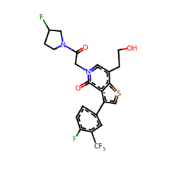 O=C(Cn1cc(CCO)c2scc(-c3ccc(F)c(C(F)(F)F)c3)c2c1=O)N1CCC(F)C1